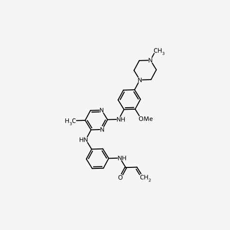 C=CC(=O)Nc1cccc(Nc2nc(Nc3ccc(N4CCN(C)CC4)cc3OC)ncc2C)c1